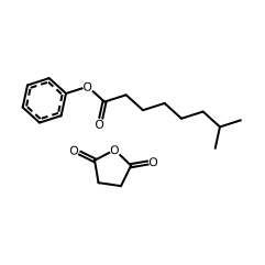 CC(C)CCCCCC(=O)Oc1ccccc1.O=C1CCC(=O)O1